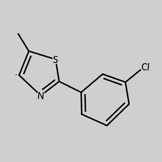 Cc1[c]nc(-c2cccc(Cl)c2)s1